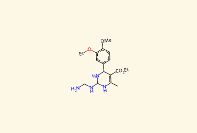 CCOC(=O)C1=C(C)NC(NCN)NC1c1ccc(OC)c(OCC)c1